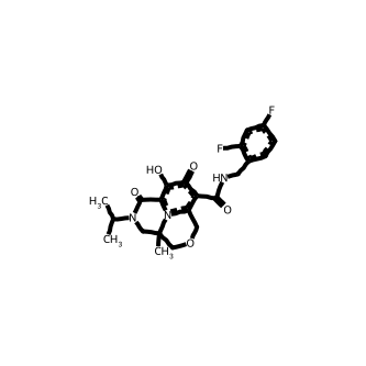 CC(C)N1CC2(C)COCc3c(C(=O)NCc4ccc(F)cc4F)c(=O)c(O)c(n32)C1=O